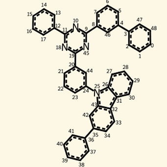 c1ccc(-c2cccc(-c3nc(-c4ccccc4)nc(-c4cccc(-n5c6ccccc6c6ccc(-c7ccccc7)cc65)c4)n3)c2)cc1